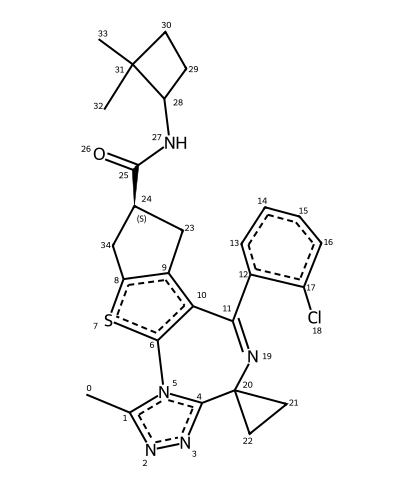 Cc1nnc2n1-c1sc3c(c1C(c1ccccc1Cl)=NC21CC1)C[C@H](C(=O)NC1CCC1(C)C)C3